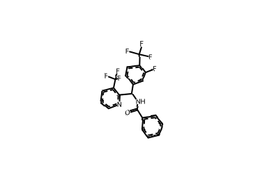 O=C(NC(c1ccc(C(F)(F)F)c(F)c1)c1ncccc1C(F)(F)F)c1ccccc1